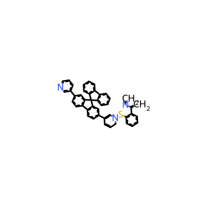 C=NC(=C)c1ccccc1SN1C=C(c2ccc3c(c2)C2(c4ccccc4-c4ccccc42)c2cc(-c4cccnc4)ccc2-3)C=CC1